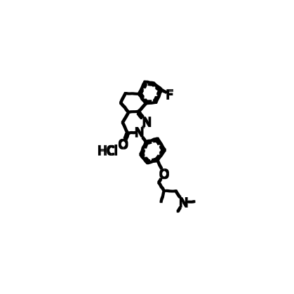 CC(COc1ccc(N2N=C3c4cc(F)ccc4CCC3CC2=O)cc1)CN(C)C.Cl